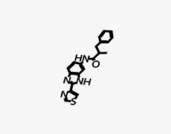 CC(Cc1ccccc1)C(=O)Nc1ccc2nc(-c3cscn3)[nH]c2c1